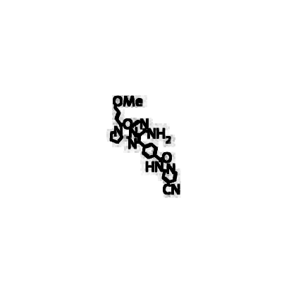 COCC=CC(=O)N1CCC[C@H]1c1nc(-c2ccc(C(=O)Nc3cc(C#N)ccn3)cc2)c2c(N)nccn12